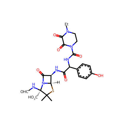 CCN1CCN(C(=O)NC(C(=O)N[C@@H]2C(=O)N3[C@@H]2SC(C)(C)[C@]3(NC=O)C(=O)O)c2ccc(O)cc2)C(=O)C1=O